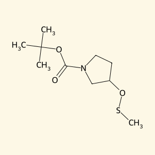 CSOC1CCN(C(=O)OC(C)(C)C)C1